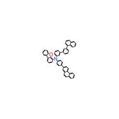 c1cc(-c2cccc(N(c3ccc(-c4ccc5c(ccc6ccccc65)c4)cc3)c3cccc4c3oc3ccccc34)c2)cc(-c2cccc3ccccc23)c1